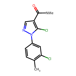 CNC(=O)c1cnn(-c2ccc(C)c(Cl)c2)c1Cl